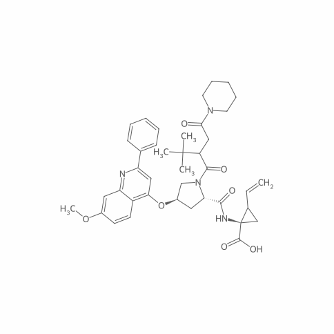 C=CC1C[C@]1(NC(=O)[C@@H]1C[C@@H](Oc2cc(-c3ccccc3)nc3cc(OC)ccc23)CN1C(=O)C(CC(=O)N1CCCCC1)C(C)(C)C)C(=O)O